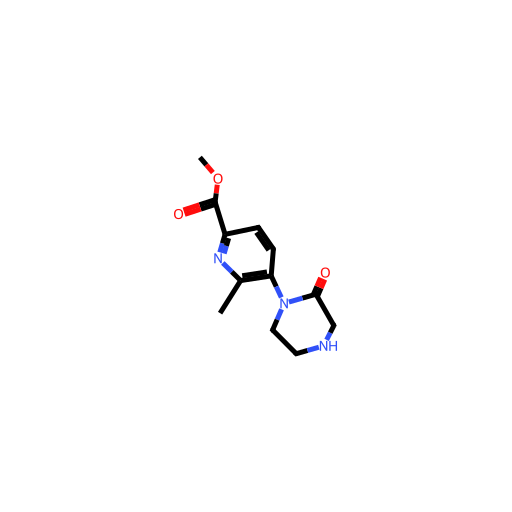 COC(=O)c1ccc(N2CCNCC2=O)c(C)n1